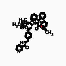 C=CCOC(=O)C(N1C(=O)[C@H]([C@@H](C)O[Si](C)(C)C)[C@H]1CC(=O)c1ccc(CNC(=O)c2cccnc2)cc1)=P(c1ccccc1)(c1ccccc1)c1ccccc1